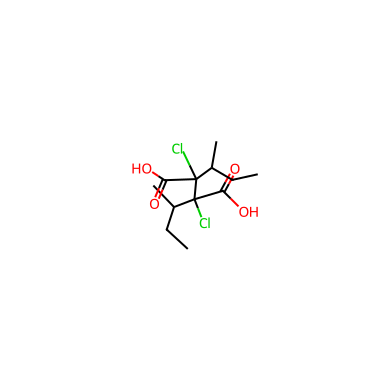 CCC(C)C(Cl)(C(=O)O)C(Cl)(C(=O)O)C(C)CC